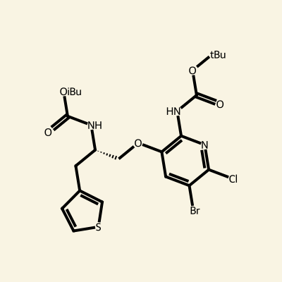 CC(C)COC(=O)N[C@H](COc1cc(Br)c(Cl)nc1NC(=O)OC(C)(C)C)Cc1ccsc1